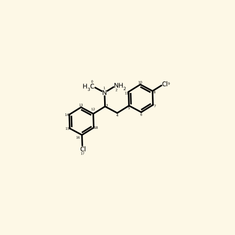 CN(N)C(Cc1ccc(Cl)cc1)c1cccc(Cl)c1